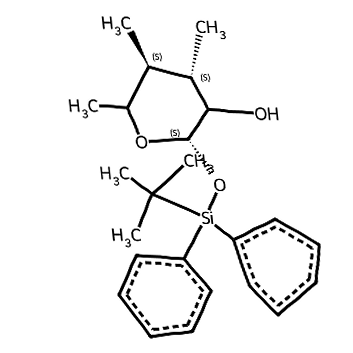 CC1O[C@@H](O[Si](c2ccccc2)(c2ccccc2)C(C)(C)C)C(O)[C@@H](C)[C@@H]1C